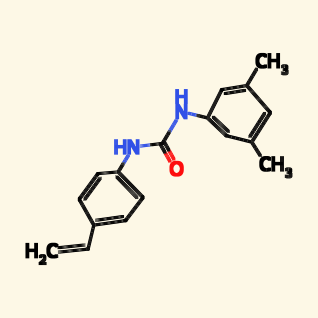 C=Cc1ccc(NC(=O)Nc2cc(C)cc(C)c2)cc1